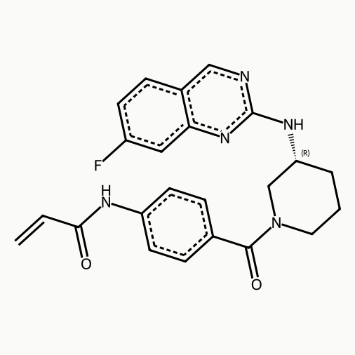 C=CC(=O)Nc1ccc(C(=O)N2CCC[C@@H](Nc3ncc4ccc(F)cc4n3)C2)cc1